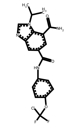 CC(C)n1cnc2cc(C(=O)Nc3ccc(OC(F)(F)Cl)cc3)cc(C(N)=O)c21